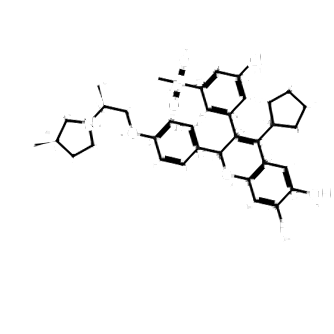 C[C@@H]1CCN([C@@H](C)COc2ccc(C3Oc4cc(F)c(O)cc4C(C4CCCC4)=C3c3cc(Cl)cc(S(C)(=O)=O)c3)cc2)C1